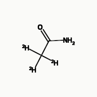 [2H]C([2H])([2H])C(N)=O